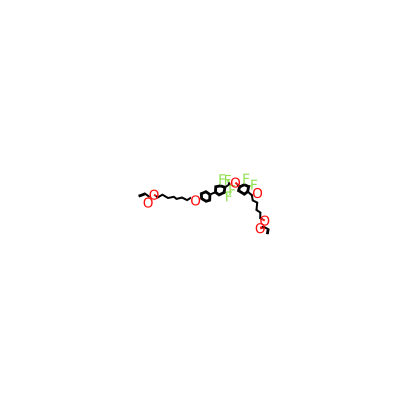 C=CC(=O)OCCCCCCCCOc1ccc(-c2cc(F)c(C(F)(F)Oc3ccc(C(=O)CCCCCOC(=O)C=C)c(F)c3F)c(F)c2)cc1